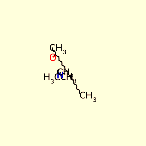 CCCCCCCCCCCCCCCCCC(=O)CCC.CN(C)C